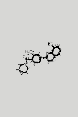 Cc1cc(-c2cnc3cccc(Br)c3n2)ccc1C(=O)N1CCOCC1